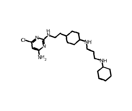 Nc1cc(Cl)nc(NCCC2CCC(NCCCNC3CCCCC3)CC2)n1